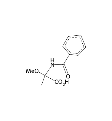 COC(C)(NC(=O)c1ccccc1)C(=O)O